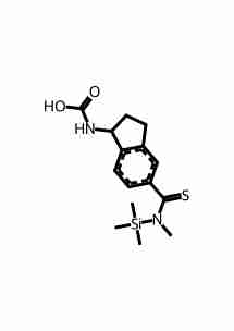 CN(C(=S)c1ccc2c(c1)CCC2NC(=O)O)[Si](C)(C)C